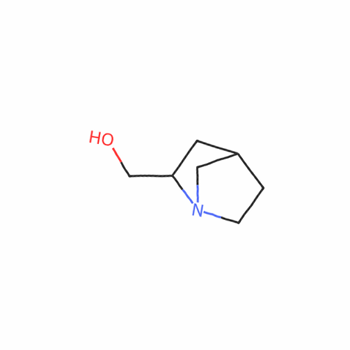 OCC1CC2CCN1C2